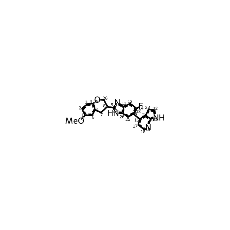 COc1ccc2c(c1)CC(c1nc3cc(F)c(-c4ccnc5[nH]ccc45)cc3[nH]1)CO2